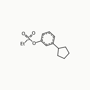 CCS(=O)(=O)Oc1cccc(C2CCCC2)c1